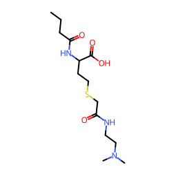 CCCC(=O)NC(CCSCC(=O)NCCN(C)C)C(=O)O